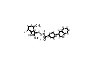 Cc1[nH]c2c(F)ccc(C)c2c1CCNC(=O)c1ccc(-c2cnc3ccccc3c2)cc1